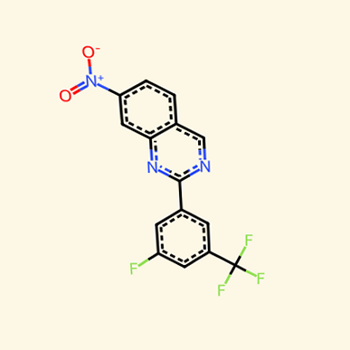 O=[N+]([O-])c1ccc2cnc(-c3cc(F)cc(C(F)(F)F)c3)nc2c1